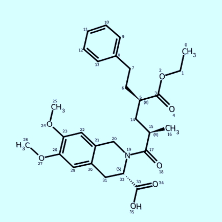 CCOC(=O)[C@H](CCc1ccccc1)C[C@@H](C)C(=O)N1Cc2cc(OC)c(OC)cc2C[C@H]1C(=O)O